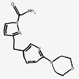 NC(=O)n1ccc(Cc2ccc(N3CCOCC3)nc2)n1